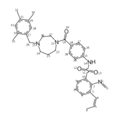 C=Nc1c(/C=C\C)cccc1S(=O)(=O)Nc1ccc(C(=O)N2CCCN(Cc3cc(C)c(C)cc3C)CC2)cc1